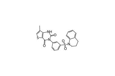 Cc1csc2c(=O)n(-c3cccc(S(=O)(=O)N4CCCc5ccccc54)c3)c(=O)[nH]c12